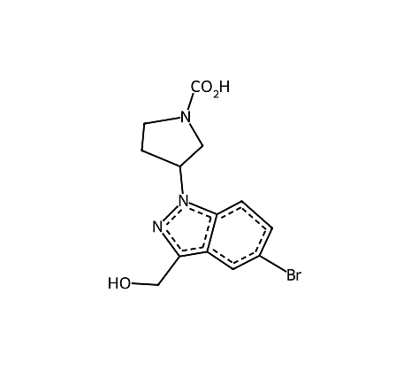 O=C(O)N1CCC(n2nc(CO)c3cc(Br)ccc32)C1